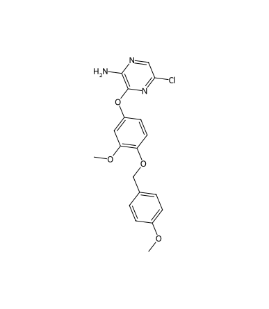 COc1ccc(COc2ccc(Oc3nc(Cl)cnc3N)cc2OC)cc1